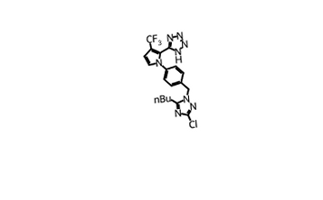 CCCCc1nc(Cl)nn1Cc1ccc(-n2ccc(C(F)(F)F)c2-c2nnn[nH]2)cc1